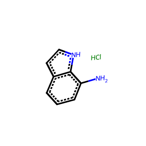 Cl.Nc1cccc2cc[nH]c12